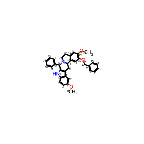 COc1ccc2[nH]c3c(c2c1)CC1c2cc(OCc4ccccc4)c(OC)cc2CCN1C3c1ccccc1